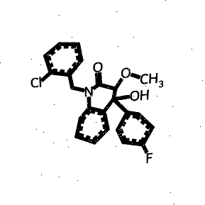 COC1C(=O)N(Cc2ccccc2Cl)c2ccccc2C1(O)c1ccc(F)cc1